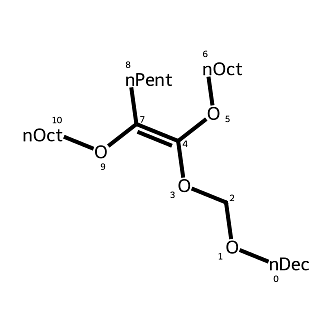 CCCCCCCCCCOCOC(OCCCCCCCC)=C(CCCCC)OCCCCCCCC